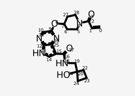 C=CC(=O)N1CCC(Oc2cnc3[nH]cc(C(=O)NCC4(O)CCC4)c3n2)CC1